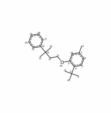 Cc1ccc(C(C)(C)C)c(OCCC(C)(C)c2ccccc2)c1